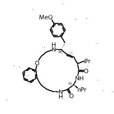 CCC[C@@H]1NC(=O)C(C(C)C)/C=C/[C@@H](Cc2ccc(OC)cc2)NCCOc2ccccc2CCCNC1=O